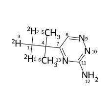 [2H]C([2H])([2H])C(C)(C)c1cnnc(N)n1